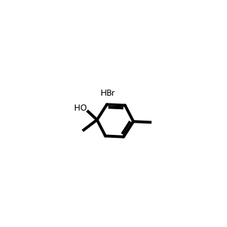 Br.CC1=CCC(C)(O)C=C1